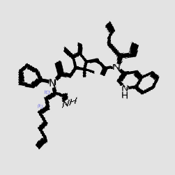 C=CCC/C=C/C=C(\C=N)N(C(=C)CC1C(=C)C(=C)C(CC(=C)N(C2=CNC3CCC=CC3=C2)C(C=C)CC=C)C1(C)C)c1ccccc1